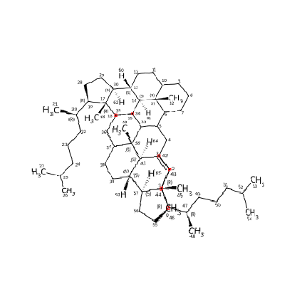 CCC=CCC(C1CCCC2CC[C@@H]3[C@H](CC[C@]4(C)[C@@H]([C@H](C)CCCC(C)C)CC[C@@H]34)[C@]21C)C1CCCC2CC[C@@H]3[C@H](CC[C@]4(C)[C@@H]([C@H](C)CCCC(C)C)CC[C@@H]34)[C@]21C